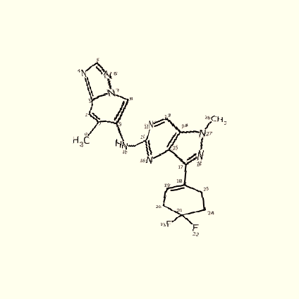 Cc1cc2ncnn2cc1Nc1ncc2c(n1)c(C1=CCC(F)(F)CC1)nn2C